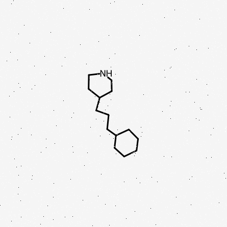 C1CCC(CCCC2CCNCC2)CC1